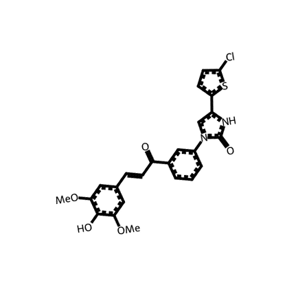 COc1cc(/C=C/C(=O)c2cccc(-n3cc(-c4ccc(Cl)s4)[nH]c3=O)c2)cc(OC)c1O